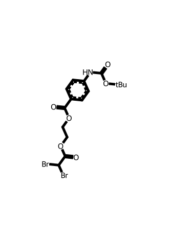 CC(C)(C)OC(=O)Nc1ccc(C(=O)OCCOC(=O)C(Br)Br)cc1